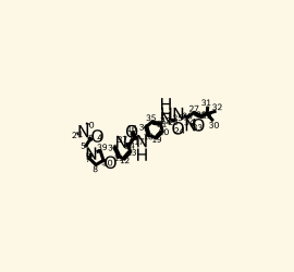 CN(C)C(=O)CN1CCC(Oc2ccc(C(=O)Nc3ccc(NC(=O)Nc4cc(C(C)(C)C)on4)cc3)nc2)C1